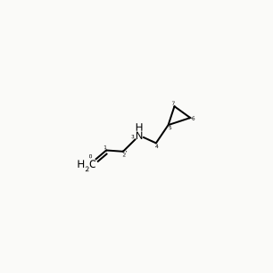 C=C[CH]NCC1CC1